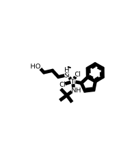 C[SiH](CCCO)[Ti]([Cl])([Cl])([NH]C(C)(C)C)[CH]1C=Cc2ccccc21